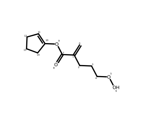 C=C(CCCOO)C(=O)OC1=CCCC1